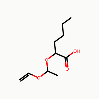 C=COC(C)OC(CCCC)C(=O)O